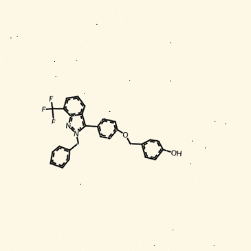 Oc1ccc(COc2ccc(-c3c4cccc(C(F)(F)F)c4nn3Cc3ccccc3)cc2)cc1